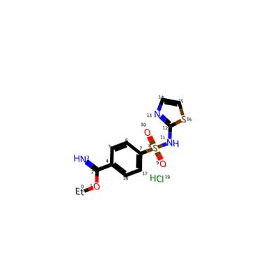 CCOC(=N)c1ccc(S(=O)(=O)Nc2nccs2)cc1.Cl